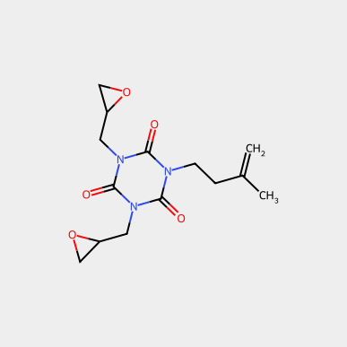 C=C(C)CCn1c(=O)n(CC2CO2)c(=O)n(CC2CO2)c1=O